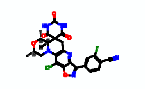 C[C@H]1CN2c3c(nc4c(-c5ccc(C#N)c(F)c5)noc4c3Cl)CC3(C(=O)NC(=O)NC3=O)[C@@H]2[C@@H](C)O1